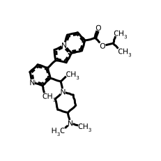 Cc1nccc(-c2cc3cc(C(=O)OC(C)C)ccn3c2)c1C(C)N1CCC(N(C)C)CC1